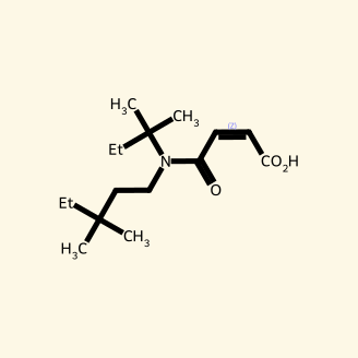 CCC(C)(C)CCN(C(=O)/C=C\C(=O)O)C(C)(C)CC